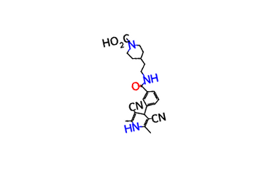 CC1=C(C#N)C(c2cccc(C(=O)NCCC3CCN(C(=O)O)CC3)c2)C(C#N)=C(C)N1